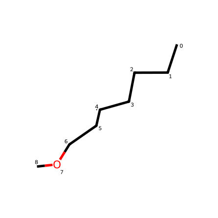 CCCC[CH]CCOC